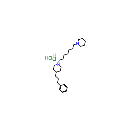 Cl.Cl.c1ccc(CCCC2CCN(CCCCCCCN3CCCCC3)CC2)cc1